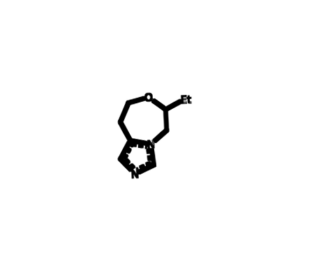 CCC1Cn2cncc2CCO1